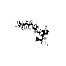 C[C@H](Nc1nc(Nc2cn([C@H](C)CCC(C)(C)[Si](C)(C)O)nn2)nc2[nH]ccc12)C1CC1